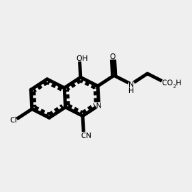 N#Cc1nc(C(=O)NCC(=O)O)c(O)c2ccc(Cl)cc12